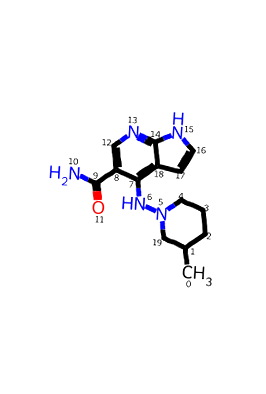 CC1CCCN(Nc2c(C(N)=O)cnc3[nH]ccc23)C1